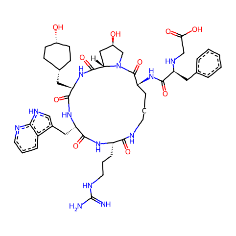 N=C(N)NCCC[C@@H]1NC(=O)[C@H](Cc2c[nH]c3ncccc23)NC(=O)[C@@H](C[C@H]2CC[C@@H](O)CC2)NC(=O)[C@@H]2C[C@@H](O)CN2C(=O)[C@@H](NC(=O)[C@H](Cc2ccccc2)NCC(=O)O)CCCNC1=O